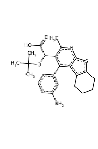 Cc1nc2sc3c(c2c(-c2cccc(N)c2)c1C(OC(C)(C)C)C(=O)O)CCCC3